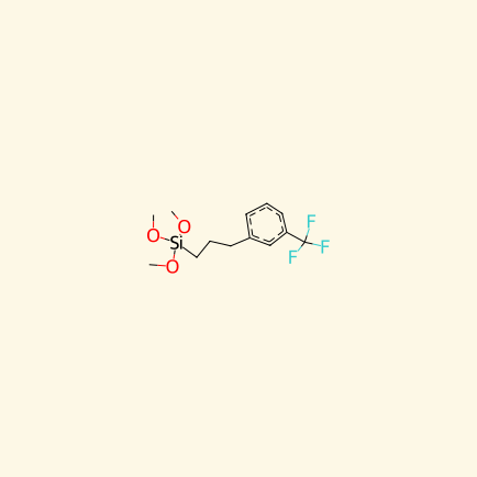 CO[Si](CCCc1cccc(C(F)(F)F)c1)(OC)OC